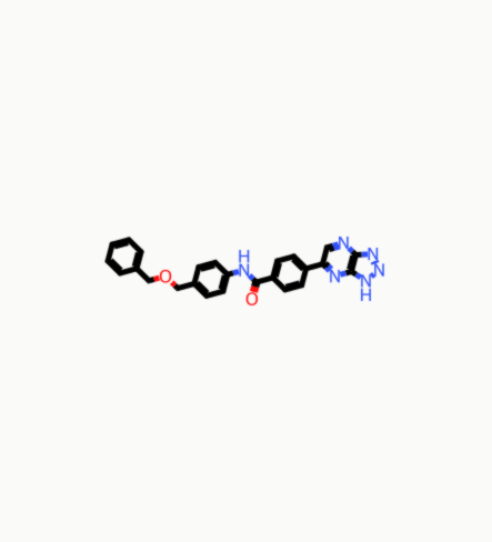 O=C(Nc1ccc(COCc2ccccc2)cc1)c1ccc(-c2cnc3nn[nH]c3n2)cc1